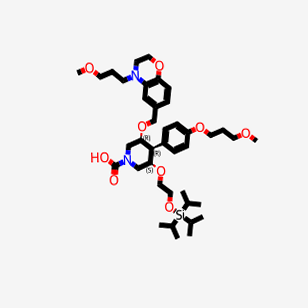 COCCCOc1ccc([C@@H]2[C@@H](OCc3ccc4c(c3)N(CCCOC)CCO4)CN(C(=O)O)C[C@H]2OCCO[Si](C(C)C)(C(C)C)C(C)C)cc1